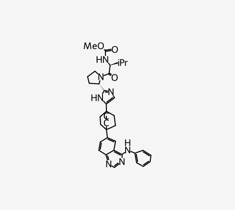 COC(=O)N[C@H](C(=O)N1CCC[C@H]1c1ncc(C23CCC(c4ccc5ncnc(Nc6ccccc6)c5c4)(CC2)CC3)[nH]1)C(C)C